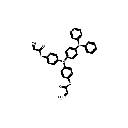 C=CC(=O)Oc1ccc(N(c2ccc(OC(=O)C=C)cc2)c2ccc(N(c3ccccc3)c3ccccc3)cc2)cc1